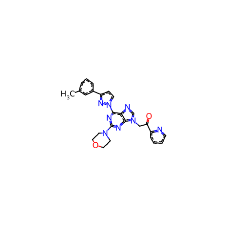 Cc1cccc(-c2ccn(-c3nc(N4CCOCC4)nc4c3ncn4CC(=O)c3ccccn3)n2)c1